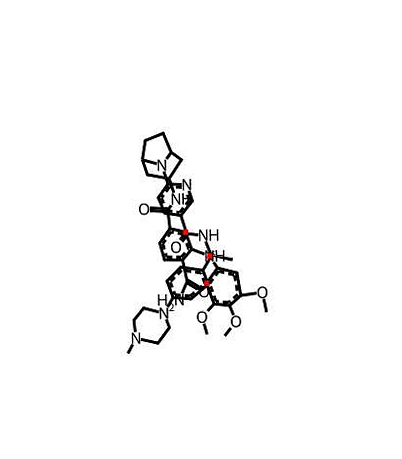 COc1cc(Nc2cc(C(=O)NC3CC4CCC(C3)N4c3ccc(C(=O)N[C@@H](C)c4ccc(N5CCN(C)CC5)cc4)cn3)ccc2C(N)=O)cc(OC)c1OC